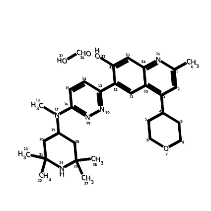 Cc1cc(C2CCOCC2)c2cc(-c3ccc(N(C)C4CC(C)(C)NC(C)(C)C4)nn3)c(O)cc2n1.O=CO